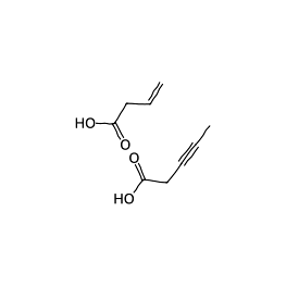 C=CCC(=O)O.CC#CCC(=O)O